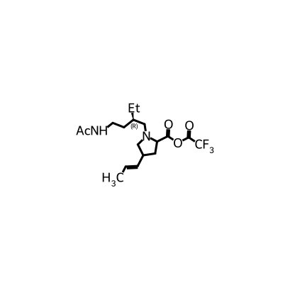 CC=CC1CC(C(=O)OC(=O)C(F)(F)F)N(C[C@H](CC)CCNC(C)=O)C1